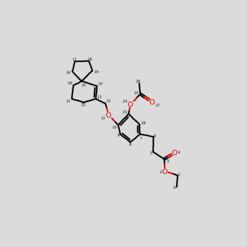 CCOC(=O)CCc1ccc(OCC2=CC3(CCCC3)CCC2)c(OC(C)=O)c1